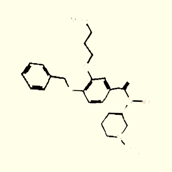 COCCCOc1cc(C(=O)N(C(C)C)[C@@H]2CCCN(C(=O)O)C2)ccc1OCc1ccccc1